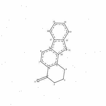 O=C1CCCc2c1ccc1c2sc2ccccc21